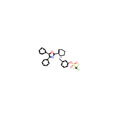 O=S(=O)(Oc1cccc(C[C@H]2CCCC=C2c2nc(-c3ccccc3)c(-c3ccccc3)o2)c1)C(F)(F)F